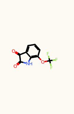 O=C1Nc2c(OC(F)(F)F)cccc2C1=O